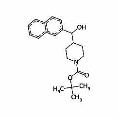 CC(C)(C)OC(=O)N1CCC(C(O)c2ccc3ccccc3c2)CC1